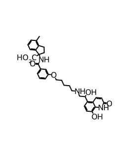 Cc1cccc2c1CCC2(NC(=O)c1cccc(OCCCCCNCC(O)c2ccc(O)c3[nH]c(=O)ccc23)c1)C(=O)O